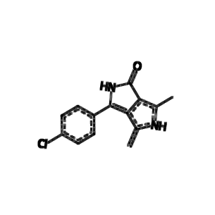 C=c1[nH]c(C)c2c1=C(c1ccc(Cl)cc1)NC2=O